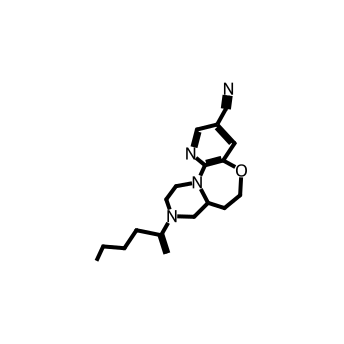 C=C(CCCC)N1CCN2c3ncc(C#N)cc3OCCC2C1